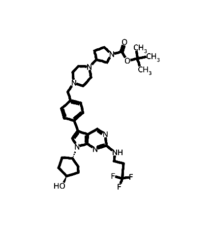 CC(C)(C)OC(=O)N1CCC(N2CCN(Cc3ccc(-c4cn([C@H]5CC[C@H](O)CC5)c5nc(NCCC(F)(F)F)ncc45)cc3)CC2)C1